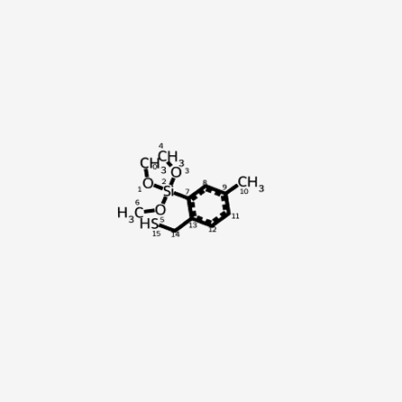 CO[Si](OC)(OC)c1cc(C)ccc1CS